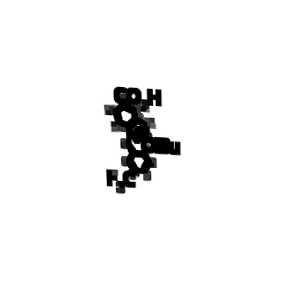 CC(C)COc1ccc(C(F)(F)F)cc1Cn1ncc2cc(C(=O)O)ccc21